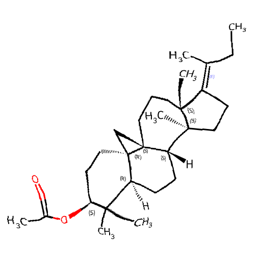 CC/C(C)=C1\CC[C@@]2(C)[C@@H]3CC[C@H]4C(C)(C)[C@@H](OC(C)=O)CC[C@@]45C[C@@]35CC[C@]12C